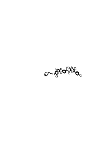 COc1cc2c(Oc3ccc(NC(=O)c4nn(-c5ccc(Cl)cc5)c(=O)n(C)c4=O)cc3F)ccnc2cc1OCCCN1CCN(C)CC1